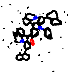 c1ccc(N2c3cc4c(cc3B3c5cccc6c5N(CCC6)c5cc(C6CCCc7ccccc76)cc2c53)B2c3cccc5c3N(CCC5)c3cc(C5CCCc6ccccc65)cc(c32)O4)cc1